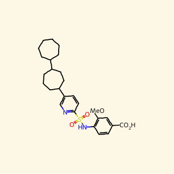 COc1cc(C(=O)O)ccc1NS(=O)(=O)c1ccc(C2CCCC(C3CCCCCC3)CC2)cn1